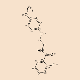 O=C(NCCOc1ccc(OC(F)(F)F)cc1)c1ccccc1F